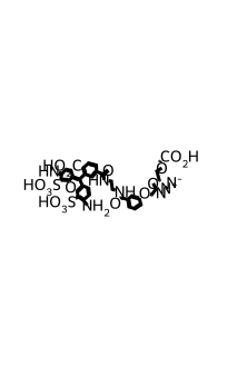 [N-]=[N+]=NC(COc1cccc(C(=O)NCCNC(=O)c2ccc(C(=O)O)c(-c3c4ccc(=N)c(S(=O)(=O)O)c-4oc4c(S(=O)(=O)O)c(N)ccc34)c2)c1)OCCOCC(=O)O